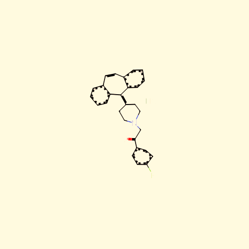 Cl.O=C(CN1CCC(=C2c3ccccc3C=Cc3ccccc32)CC1)c1ccc(F)cc1